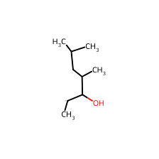 C[CH]C(O)C(C)CC(C)C